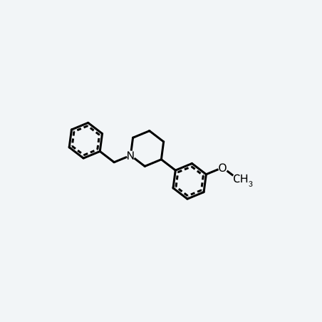 COc1cccc(C2CCCN(Cc3ccccc3)C2)c1